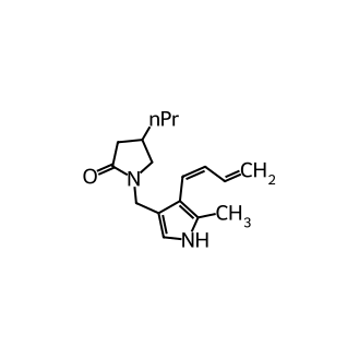 C=C/C=C\c1c(CN2CC(CCC)CC2=O)c[nH]c1C